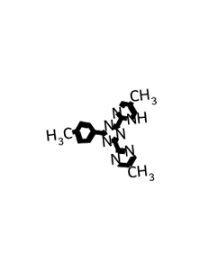 CC1=CNC(c2nc(-c3ccc(C)cc3)nc(-c3ncc(C)cn3)n2)N=C1